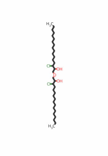 CCCCCCCCCCCCCCC(Cl)C(O)COCC(O)C(Cl)CCCCCCCCCCCCCC